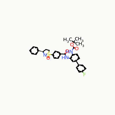 CC(C)(C)OC(=O)Nc1ccc(-c2ccc(F)cc2)cc1NC(=O)c1ccc(S2(=O)=N[C@@H](c3ccccc3)CC2)cc1